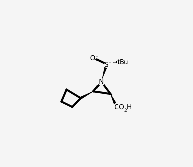 CC(C)(C)[S@@+]([O-])[N@]1[C@H](C2CCC2)[C@@H]1C(=O)O